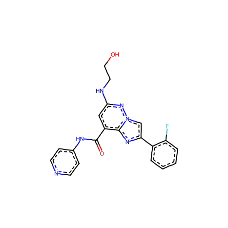 O=C(Nc1ccncc1)c1cc(NCCO)nn2cc(-c3ccccc3F)nc12